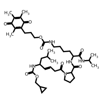 CC1=C(C)C(=O)C(CCCOC(=O)NCCCCC(NC(=O)C2CCCN2C(=O)C/C=C/C(CC(C)C)NC(=O)OCC2CC2)C(=O)NC(C)C)=C(C)C1=O